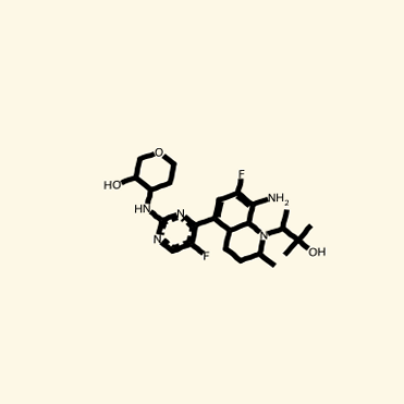 CC1CCC2C(c3nc(NC4CCOCC4O)ncc3F)=CC(F)=C(N)C2N1C(C)C(C)(C)O